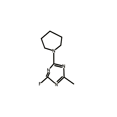 Cc1nc(F)nc(N2CCCCC2)n1